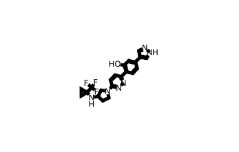 Oc1cc(-c2cn[nH]c2)ccc1-c1ccc(N2CCC(NC3(C(F)(F)F)CC3)C2)nn1